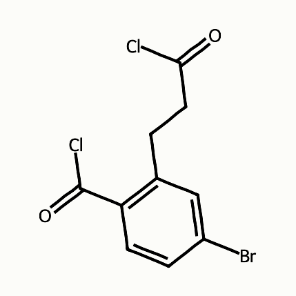 O=C(Cl)CCc1cc(Br)ccc1C(=O)Cl